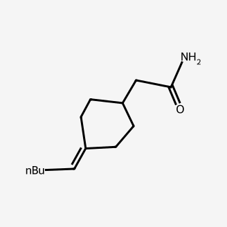 CCCCC=C1CCC(CC(N)=O)CC1